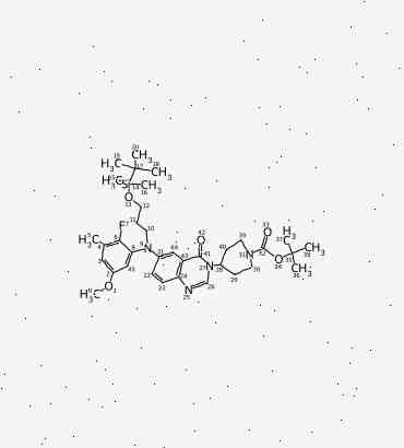 COc1cc(C)c(F)c(N(CCCO[Si](C)(C)C(C)(C)C)c2ccc3ncn(C4CCN(C(=O)OC(C)(C)C)CC4)c(=O)c3c2)c1